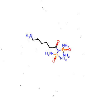 NCCCCCC(=O)N(P(N)(N)=O)P(N)(N)=O